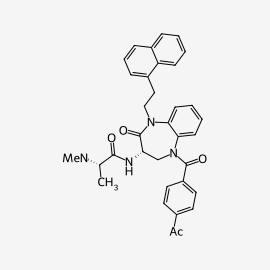 CN[C@@H](C)C(=O)N[C@H]1CN(C(=O)c2ccc(C(C)=O)cc2)c2ccccc2N(CCc2cccc3ccccc23)C1=O